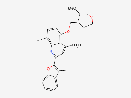 CO[C@H]1COCC[C@H]1COc1ccc(C)c2nc(-c3oc4ccccc4c3C)cc(C(=O)O)c12